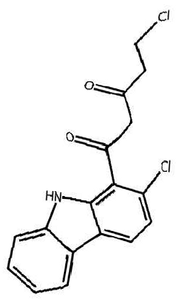 O=C(CCCl)CC(=O)c1c(Cl)ccc2c1[nH]c1ccccc12